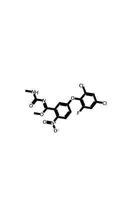 CNC(=O)N=C(OC)c1cc(Oc2c(F)cc(Cl)cc2Cl)ccc1[N+](=O)[O-]